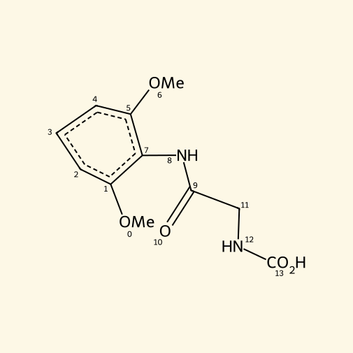 COc1cccc(OC)c1NC(=O)CNC(=O)O